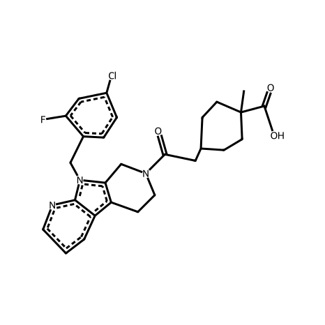 CC1(C(=O)O)CCC(CC(=O)N2CCc3c(n(Cc4ccc(Cl)cc4F)c4ncccc34)C2)CC1